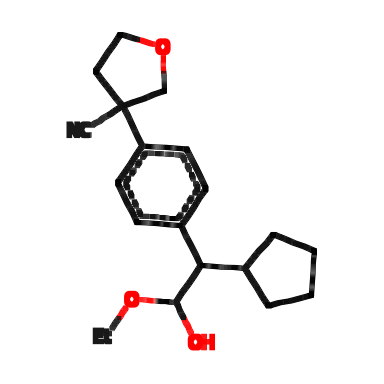 CCOC(O)C(c1ccc(C2(C#N)CCOC2)cc1)C1CCCC1